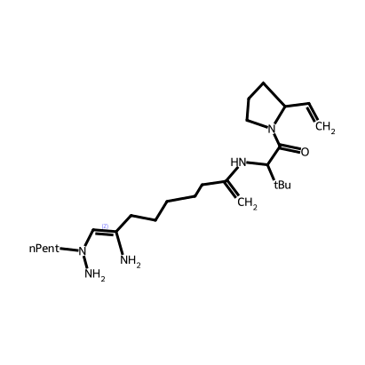 C=CC1CCCN1C(=O)C(NC(=C)CCCCC/C(N)=C/N(N)CCCCC)C(C)(C)C